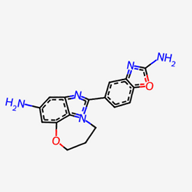 Nc1cc2c3c(c1)nc(-c1ccc4oc(N)nc4c1)n3CCCO2